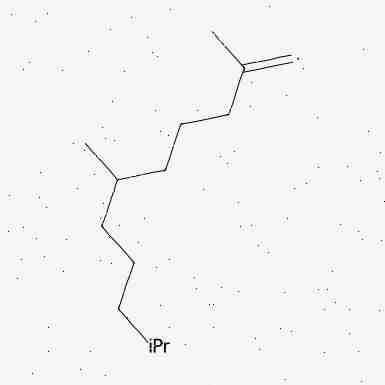 [CH]=C(C)CCCC(C)CCCC(C)C